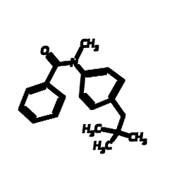 CN(C(=O)c1ccccc1)c1ccc(CC(C)(C)C)cc1